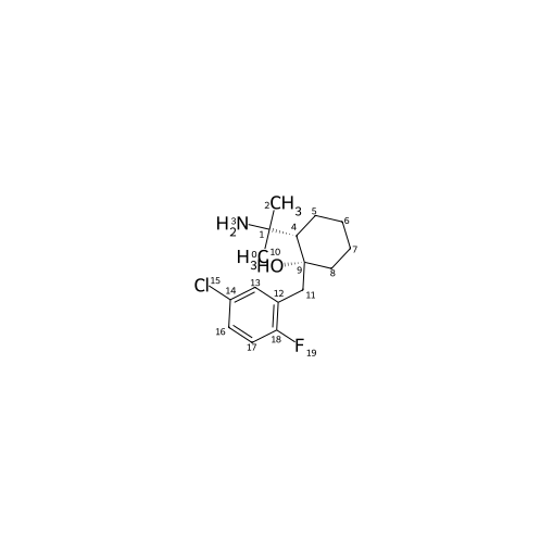 CC(C)(N)[C@@H]1CCCC[C@@]1(O)Cc1cc(Cl)ccc1F